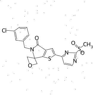 CS(=O)(=O)c1nccc(-c2cc3c(s2)C2(COC2)N(Cc2cccc(Cl)c2)C3=O)n1